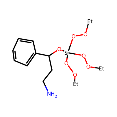 CCOO[Si](OOCC)(OOCC)OC(CCN)c1ccccc1